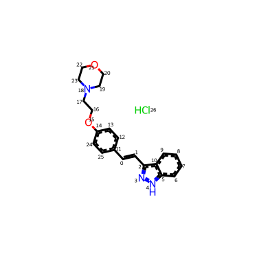 C(=Cc1n[nH]c2ccccc12)c1ccc(OCCN2CCOCC2)cc1.Cl